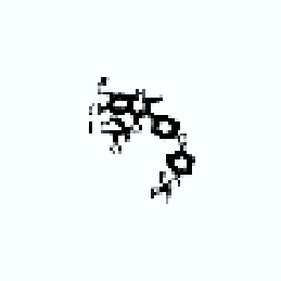 CCC(C)(Oc1c(-c2ccc(Oc3ccc(OC(F)(F)F)cc3)cc2)c(C)nc2cc(OC)c(Cl)cc12)C(=O)O